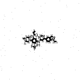 C=CC(=O)Nc1cc(Nc2cc(-c3ccc4c(cnn4CC)c3)ncn2)c(OC(F)F)cc1N1CCN(C)[C@@H](C)C1